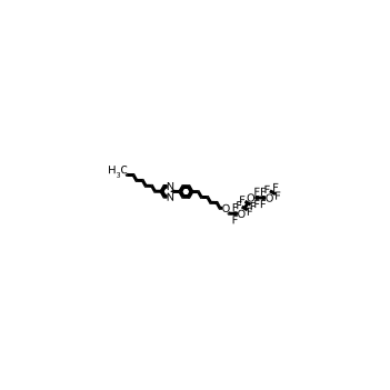 CCCCCCCCc1cnc(-c2ccc(CCCCCCOCC(F)(F)OC(F)(F)C(F)(F)OC(F)(F)C(F)(F)OC(F)(F)F)cc2)nc1